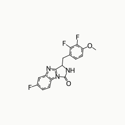 COc1ccc(CC2NC(=O)n3c2nc2cc(F)ccc23)c(F)c1F